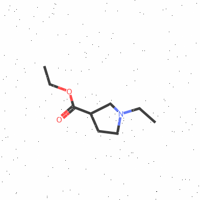 CCOC(=O)C1CCN(CC)C1